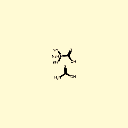 CCCN(CCC)C(O)=S.NC(O)=S.[NaH]